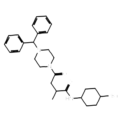 CC(CC(=O)N1CCN(C(c2ccccc2)c2ccccc2)CC1)C(=O)NC1CCC(C(C)(C)C)CC1